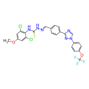 COc1cc(Cl)c(NC(=S)N/N=C/c2ccc(-c3ncn(-c4ccc(OC(F)(F)F)cc4)n3)cc2)c(Cl)c1